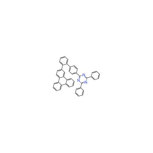 c1ccc(-c2nc(-c3ccccc3)nc(-c3ccc(-c4ccccc4-c4ccc5c6ccccc6c6ccccc6c5c4)cc3)n2)cc1